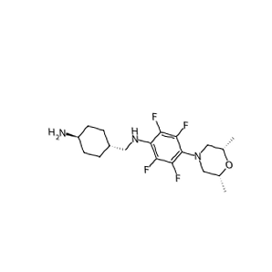 C[C@@H]1CN(c2c(F)c(F)c(NC[C@H]3CC[C@H](N)CC3)c(F)c2F)C[C@H](C)O1